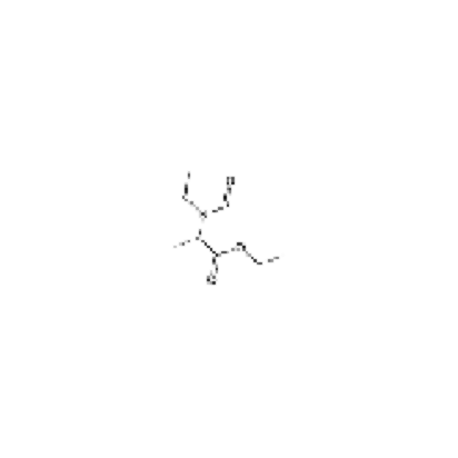 CCOC(=O)C(C)N(C=O)CC